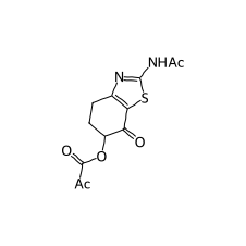 CC(=O)Nc1nc2c(s1)C(=O)C(OC(=O)C(C)=O)CC2